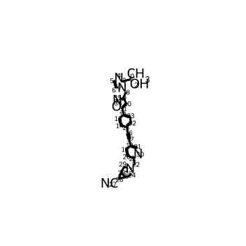 C[C@H](O)c1nccn1Cc1cc(-c2ccc(C#Cc3ccc(CN4CC5C(C#N)C5C4)nc3)cc2)on1